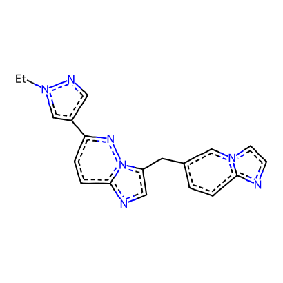 CCn1cc(-c2ccc3ncc(Cc4ccc5nccn5c4)n3n2)cn1